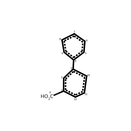 O=C(O)c1[c]c(-c2ccccc2)ccc1